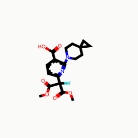 COC(=O)C(F)(C(=O)OC)c1ccc(C(=O)O)c(N2CCC3(CC2)CC3)n1